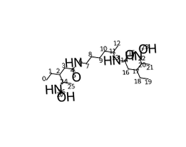 CCC(CC(=O)NCCCCC(C)NC(=O)CC(CC)C(C)NO)C(C)NO